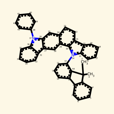 CC1(C)c2ccccc2-c2cccc(-n3c4ccccc4c4ccc5cc6c(cc5c43)c3ccccc3n6-c3ccccc3)c21